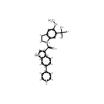 COc1cc2c(cc1C(F)(F)F)N(C(=O)c1c[nH]c3cc(-c4ccncc4)ccc13)CC2